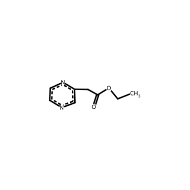 CCOC(=O)Cc1cnccn1